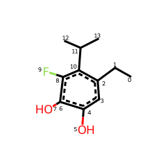 CCc1cc(O)c(O)c(F)c1C(C)C